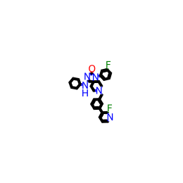 O=C1N=C(NC2CCCCC2)C2(CCN(Cc3cccc(-c4cccnc4F)c3)CC2)N1c1cccc(F)c1